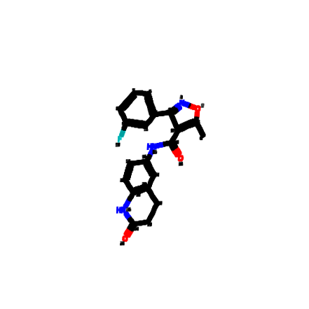 Cc1onc(-c2cccc(F)c2)c1C(=O)Nc1ccc2c(c1)CCC(=O)N2